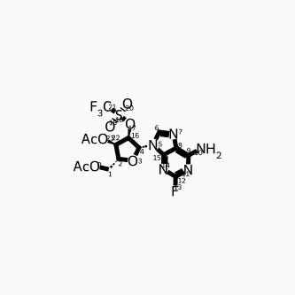 CC(=O)OC[C@H]1O[C@@H](n2cnc3c(N)nc(F)nc32)[C@H](OS(=O)(=O)C(F)(F)F)[C@@H]1OC(C)=O